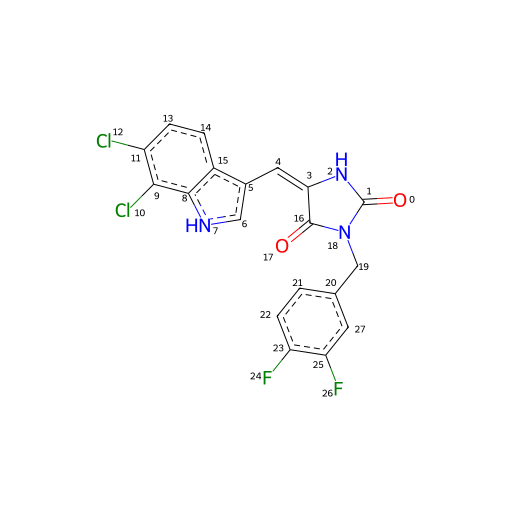 O=C1NC(=Cc2c[nH]c3c(Cl)c(Cl)ccc23)C(=O)N1Cc1ccc(F)c(F)c1